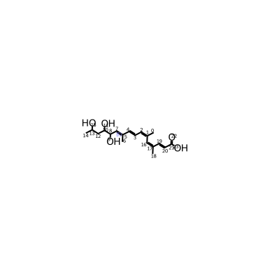 CC(=CC=C/C(C)=C/C(O)C(O)CC(C)O)C=C(C)C=CC(=O)O